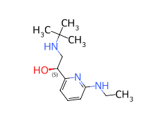 CCNc1cccc([C@@H](O)CNC(C)(C)C)n1